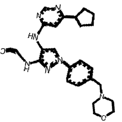 O=CNc1nn(-c2ccc(CN3CCOCC3)cc2)cc1Nc1cc(C2CCCC2)ncn1